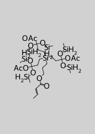 CC=CC(=O)OCCC[Si](CCC(O[SiH2]C)(O[SiH2]C)OC(C)=O)(CCC(O[SiH2]C)(O[SiH2]C)OC(C)=O)CCC(O[SiH2]C)(O[SiH2]C)OC(C)=O